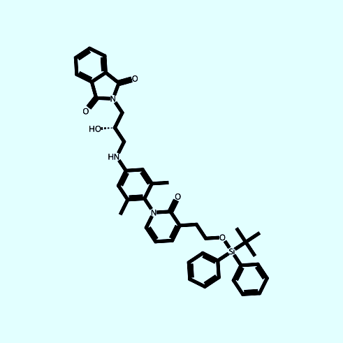 Cc1cc(NC[C@H](O)CN2C(=O)c3ccccc3C2=O)cc(C)c1-n1cccc(CCO[Si](c2ccccc2)(c2ccccc2)C(C)(C)C)c1=O